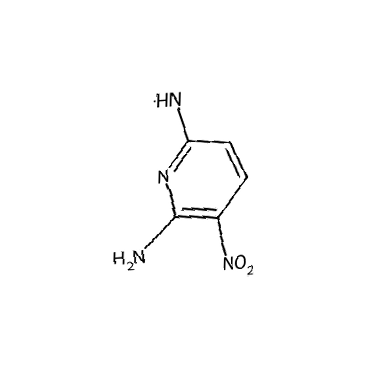 [NH]c1ccc([N+](=O)[O-])c(N)n1